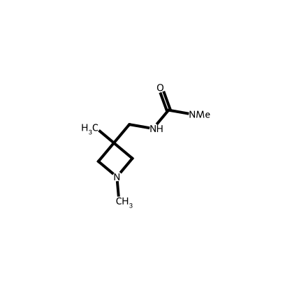 CNC(=O)NCC1(C)CN(C)C1